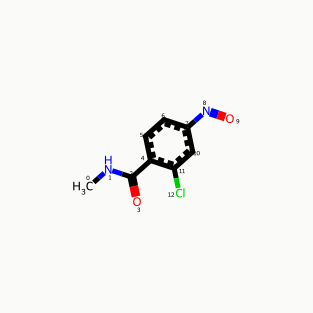 CNC(=O)c1ccc(N=O)cc1Cl